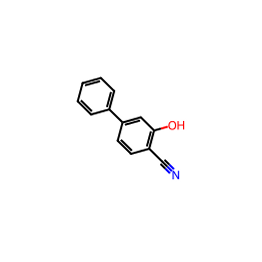 N#Cc1ccc(-c2ccccc2)cc1O